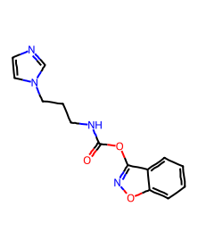 O=C(NCCCn1ccnc1)Oc1noc2ccccc12